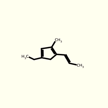 CC=CC1=C(C)C=C(CC)C1